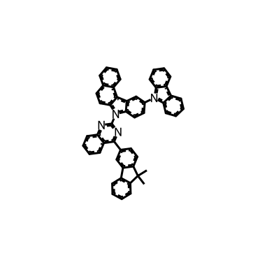 CC1(C)c2ccccc2-c2cc(-c3nc(-n4c5ccc(-n6c7ccccc7c7ccccc76)cc5c5c6ccccc6ccc54)nc4ccccc34)ccc21